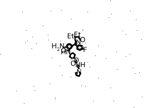 CCC1(CC)CC(=O)n2c(c(-c3ccc(C(N)=O)c(N[C@H]4CC[C@H](OC(=O)NCCN5CCCC5)CC4)c3)c3ccc(F)cc32)C1